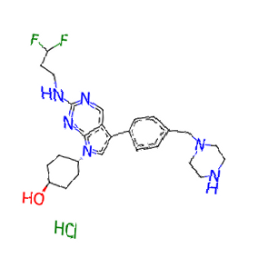 Cl.O[C@H]1CC[C@H](n2cc(-c3ccc(CN4CCNCC4)cc3)c3cnc(NCCC(F)F)nc32)CC1